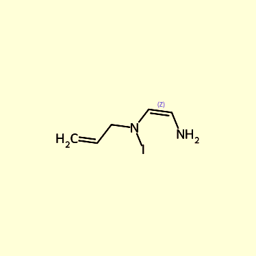 C=CCN(I)/C=C\N